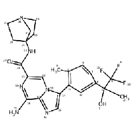 Cc1ccc(C(C)(O)C(F)(F)F)cc1-c1cnc2c(N)nc(C(=O)NC34CCN(CC3)C4)cn12